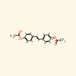 O=C(Oc1ccc(/C=C/c2ccc(OC(=O)C(F)(F)F)cc2)cc1)C(F)(F)F